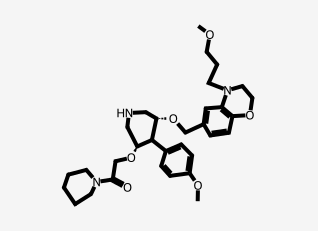 COCCCN1CCOc2ccc(CO[C@H]3CNC[C@@H](OCC(=O)N4CCCCC4)C3c3ccc(OC)cc3)cc21